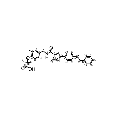 Cc1cc(CNC(=O)c2cc(-c3ccc(OCc4ccccc4)cc3)nn2C)ccc1OC(C)(C)C(=O)O